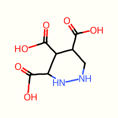 O=C(O)C1CNNC(C(=O)O)C1C(=O)O